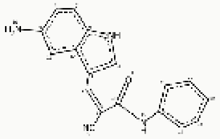 N#CC(=Cc1c[nH]c2ccc(N)cc12)C(=O)Nc1ccccc1